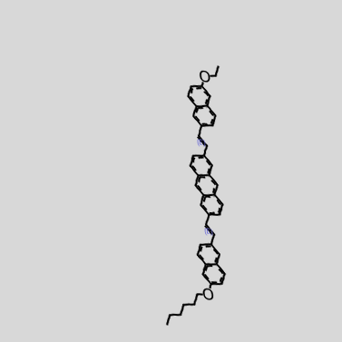 CCCCCCOc1ccc2cc(/C=C/c3ccc4cc5cc(/C=C/c6ccc7cc(OCC)ccc7c6)ccc5cc4c3)ccc2c1